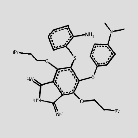 CC(C)CCOc1c(Sc2ccc(N(C)C)cc2)c(Sc2ccccc2N)c(OCCC(C)C)c2c1C(=N)NC2=N